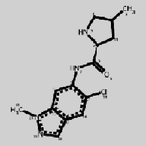 CC1CN[C@H](C(=O)Nc2cc3c(cnn3C)cc2Cl)C1